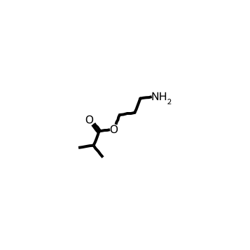 CC(C)C(=O)OCCCN